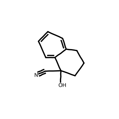 N#CC1(O)CCCc2ccccc21